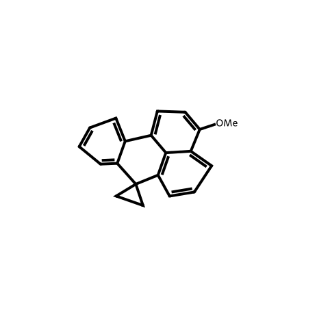 COc1ccc2c3c(cccc13)C1(CC1)c1ccccc1-2